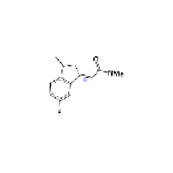 CNC(=O)/C=C1\CC(C)c2ccc(F)cc21